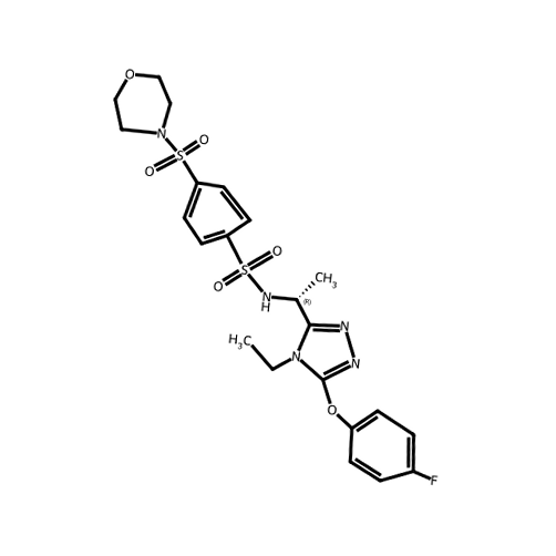 CCn1c(Oc2ccc(F)cc2)nnc1[C@@H](C)NS(=O)(=O)c1ccc(S(=O)(=O)N2CCOCC2)cc1